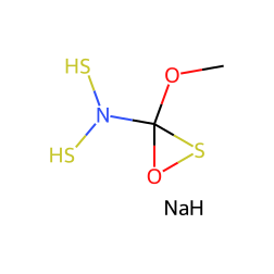 COC1(N(S)S)OS1.[NaH]